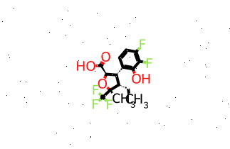 CC[C@H]1[C@@H](c2ccc(F)c(F)c2O)[C@H](C(=O)O)O[C@@]1(C)C(F)(F)F